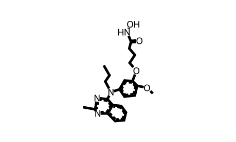 CCCN(c1ccc(OC)c(OCCCC(=O)NO)c1)c1nc(C)nc2ccccc12